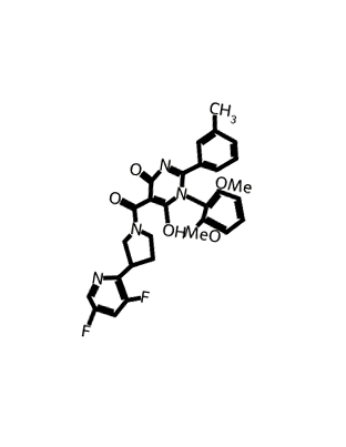 COc1cccc(OC)c1-n1c(-c2cccc(C)c2)nc(=O)c(C(=O)N2CCC(c3ncc(F)cc3F)C2)c1O